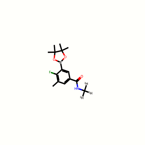 [2H]C([2H])([2H])NC(=O)c1cc(C)c(F)c(B2OC(C)(C)C(C)(C)O2)c1